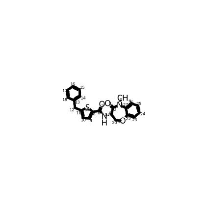 CN1C(=O)[C@@H](NC(=O)c2ccc(Cc3ccccc3)s2)COc2ccccc21